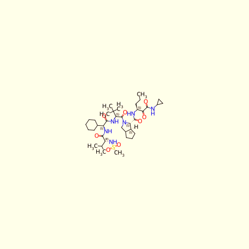 CCC[C@H](NC(=O)[C@@H]1[C@H]2CCCC2CN1C(=O)[C@@H](NC(=O)[C@@H](NC(=O)[C@H](NS(C)(=O)=O)C(C)C)C1CCCCC1)C(C)(C)C)C(=O)C(=O)NC1CC1